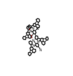 N#Cc1cc(-n2c3ccccc3c3cc4c5c(cccc5c32)-c2ccccc2-4)c(C#N)c(-n2c3ccc(-c4cc(C#N)c(-n5c6ccccc6c6cc7c8c(cccc8c65)-c5ccccc5-7)c(-n5c6ccccc6c6cc7c8c(cccc8c65)-c5ccccc5-7)c4C#N)cc3c3cc4c5c(cccc5c32)-c2ccccc2-4)c1